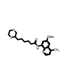 COc1cc(NC(=O)CCCCCC2COCCS2)c2nccc(C)c2c1